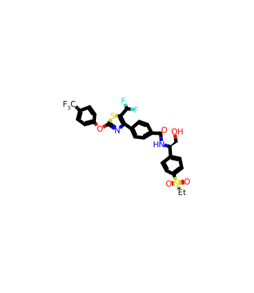 CCS(=O)(=O)c1ccc([C@H](CO)NC(=O)c2ccc(-c3nc(Oc4ccc(C(F)(F)F)cc4)sc3C(F)F)cc2)cc1